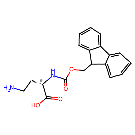 NCC[C@H](NC(=O)OCC1c2ccccc2-c2ccccc21)C(=O)O